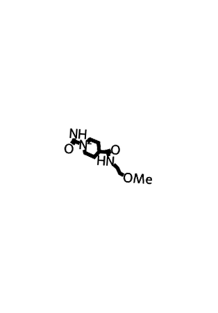 COCCNC(=O)C1CCN(C(N)=O)CC1